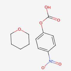 C1CCOCC1.O=C(O)Oc1ccc([N+](=O)[O-])cc1